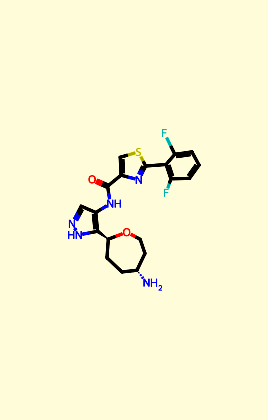 N[C@H]1CCO[C@H](c2[nH]ncc2NC(=O)c2csc(-c3c(F)cccc3F)n2)CC1